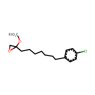 CCOC(=O)OC1(CCCCCCCc2ccc(Cl)cc2)CO1